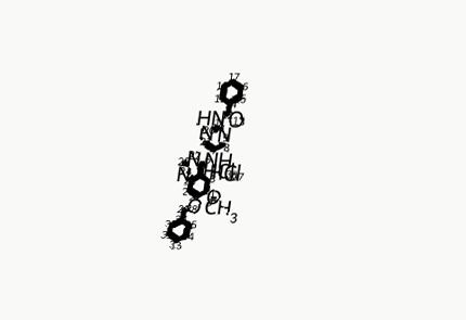 COc1cc2c(Nc3cnc(NC(=O)c4ccccc4)nc3)ncnc2cc1OCc1ccccc1.Cl.Cl